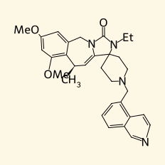 CCN1C(=O)N2Cc3cc(OC)cc(OC)c3[C@H](C)C=C2C12CCN(Cc1cccc3cnccc13)CC2